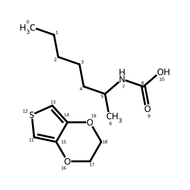 CCCCCC(C)NC(=O)O.c1scc2c1OCCO2